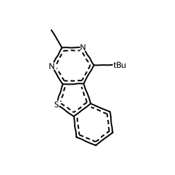 Cc1nc(C(C)(C)C)c2c(n1)sc1ccccc12